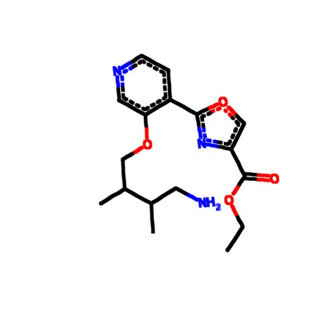 CCOC(=O)c1coc(-c2ccncc2OCC(C)C(C)CN)n1